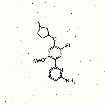 CCc1cc(-c2cccc(N)n2)c(OC)cc1OC1CCN(C)C1